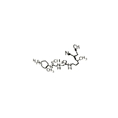 C#CC/C(C#N)=C\C(C)/C=C\CNC(=O)CNC/C(=N/C1=C(\C)CCN(C)CCC1)SC